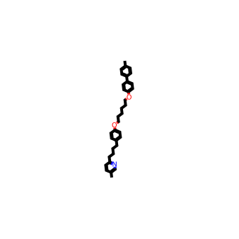 Cc1ccc(-c2ccc(OCCCCCCOc3ccc(CCCCc4ccc(C)cn4)cc3)cc2)cc1